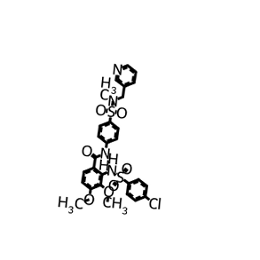 COc1ccc(C(=O)Nc2ccc(S(=O)(=O)N(C)Cc3cccnc3)cc2)c(NS(=O)(=O)c2ccc(Cl)cc2)c1OC